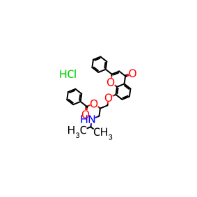 CC(C)NCC(COc1cccc2c(=O)cc(-c3ccccc3)oc12)OC(=O)c1ccccc1.Cl